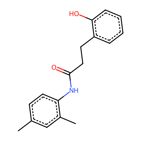 Cc1ccc(NC(=O)CCc2ccccc2O)c(C)c1